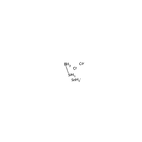 B[SiH3].[Co].[Cr].[SnH2]